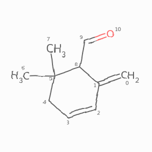 C=C1C=CCC(C)(C)C1C=O